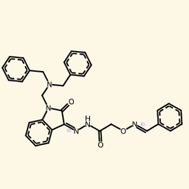 O=C(CO/N=C/c1ccccc1)N/N=C1\C(=O)N(CN(Cc2ccccc2)Cc2ccccc2)c2ccccc21